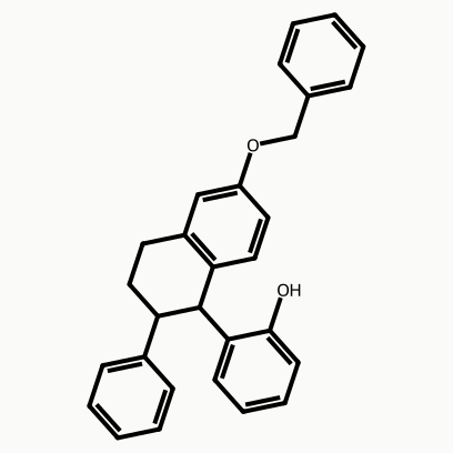 Oc1ccccc1C1c2ccc(OCc3ccccc3)cc2CCC1c1ccccc1